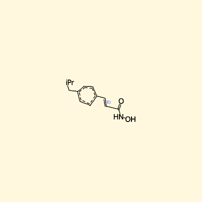 CC(C)Cc1ccc(/C=C/C(=O)NO)cc1